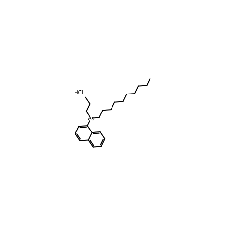 CCCCCCCCCC[As](CCC)c1cccc2ccccc12.Cl